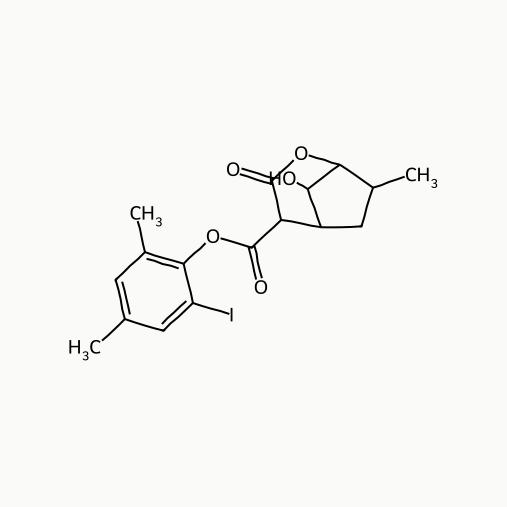 Cc1cc(C)c(OC(=O)C2C(=O)OC3C(C)CC2C3O)c(I)c1